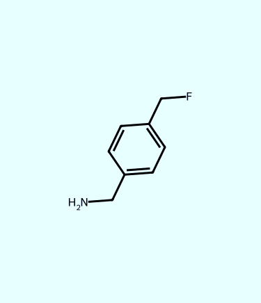 NCc1ccc(CF)cc1